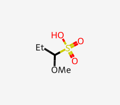 [CH2]CC(OC)S(=O)(=O)O